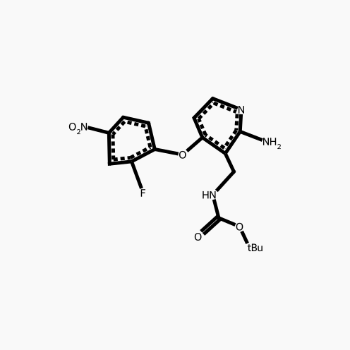 CC(C)(C)OC(=O)NCc1c(Oc2ccc([N+](=O)[O-])cc2F)ccnc1N